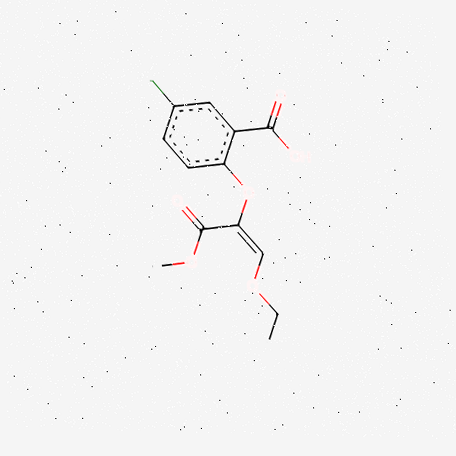 CCOC=C(Oc1ccc(Cl)cc1C(=O)O)C(=O)OC